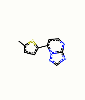 Cc1ccc(-c2ccnc3ncnn23)s1